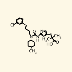 CC(C)(Sc1cnc(NC(=O)N(CCCSc2cccc(Cl)c2)[C@H]2CC[C@H](C)CC2)s1)C(=O)O